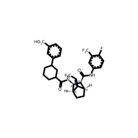 O=C(O)c1cccc(C2CCCC(C(=O)N[C@H]3[C@@H](C(=O)Nc4ccc(F)c(C(F)(F)F)c4)[C@H]4CC[C@@H]3/C4=C\C(F)(F)F)C2)c1